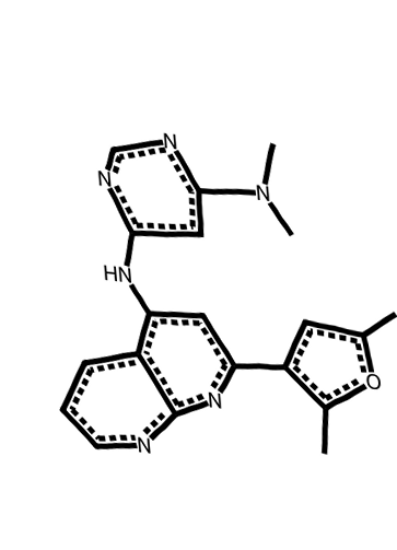 Cc1cc(-c2cc(Nc3cc(N(C)C)ncn3)c3cccnc3n2)c(C)o1